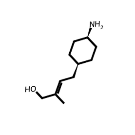 C/C(=C\C[C@H]1CC[C@@H](N)CC1)CO